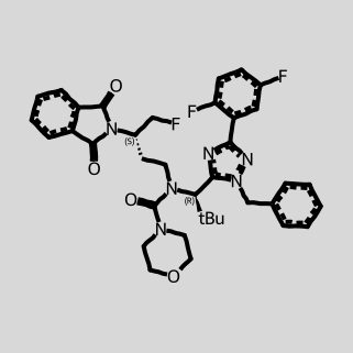 CC(C)(C)[C@H](c1nc(-c2cc(F)ccc2F)nn1Cc1ccccc1)N(CC[C@@H](CF)N1C(=O)c2ccccc2C1=O)C(=O)N1CCOCC1